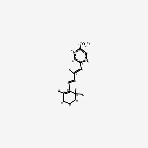 CCOC(=O)c1cnc(/C=C(C)/C=C/C2=C(C)CCCC2(C)C)cn1